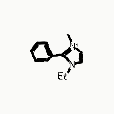 CCn1cc[n+](C)c1-c1ccccc1